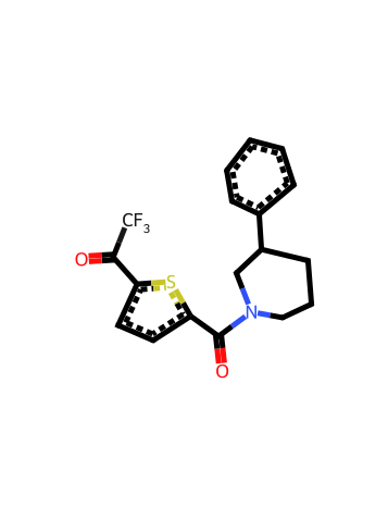 O=C(c1ccc(C(=O)C(F)(F)F)s1)N1CCCC(c2ccccc2)C1